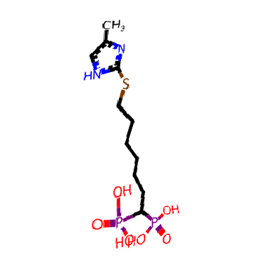 Cc1c[nH]c(SCCCCCCC(P(=O)(O)O)P(=O)(O)O)n1